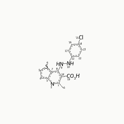 Cc1nc2ccsc2c(NNc2ccc(Cl)cc2)c1C(=O)O